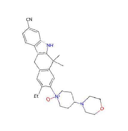 CCc1cc2c(cc1[N+]1([O-])CCC(N3CCOCC3)CC1)C(C)(C)c1[nH]c3cc(C#N)ccc3c1C2